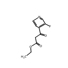 CCOC(=O)CC(=O)c1ccncc1F